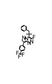 CC(C)(Cc1ccccc1)c1c(F)nnc2c(-c3ccc(C(F)(F)F)cc3)cnn12